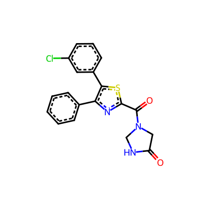 O=C1CN(C(=O)c2nc(-c3ccccc3)c(-c3cccc(Cl)c3)s2)CN1